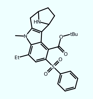 CCc1cc(S(=O)(=O)c2ccccc2)c(C(=O)OC(C)(C)C)c2c3c(n(C)c12)CC1CCC3N1